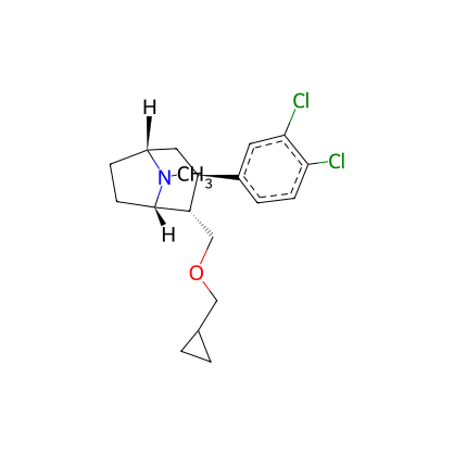 CN1[C@@H]2CC[C@H]1[C@@H](COCC1CC1)[C@H](c1ccc(Cl)c(Cl)c1)C2